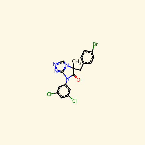 CC1(Cc2ccc(Br)cc2)C(=O)N(c2cc(Cl)cc(Cl)c2)c2nncn21